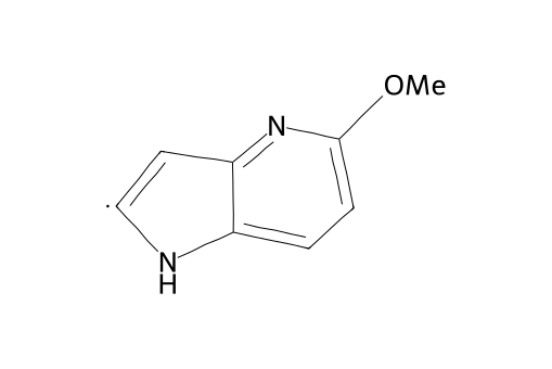 COc1ccc2[nH][c]cc2n1